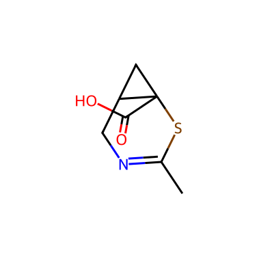 CC1=NCC2CC2(C(=O)O)S1